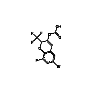 O=C(O)OC1=Cc2cc(Br)cc(F)c2OC1C(F)(F)F